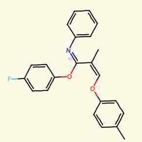 CC(=COc1ccc(C)cc1)/C(=N\c1ccccc1)Oc1ccc(F)cc1